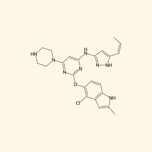 C/C=C\c1cc(Nc2cc(N3CCNCC3)nc(Oc3ccc4[nH]c(C)cc4c3Cl)n2)n[nH]1